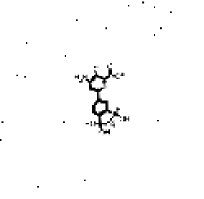 COC(=O)c1nc(-c2ccc(C(O)(O)F)c(C(O)(O)F)c2)cc(N)c1Cl